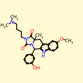 COc1ccc2[nH]c3c(c2c1)CC1(C)C(=O)N(CCCCN(C)C)C(=O)N1C3c1cccc(O)c1